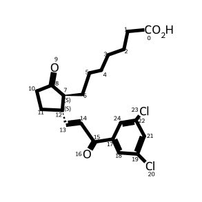 O=C(O)CCCCCC[C@@H]1C(=O)CC[C@H]1C=CC(=O)c1cc(Cl)cc(Cl)c1